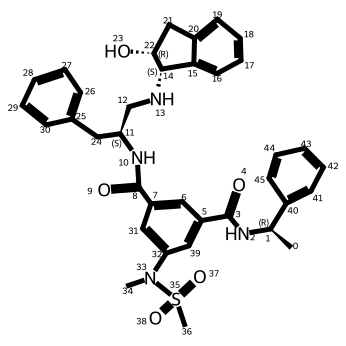 C[C@@H](NC(=O)c1cc(C(=O)N[C@H](CN[C@H]2c3ccccc3C[C@H]2O)Cc2ccccc2)cc(N(C)S(C)(=O)=O)c1)c1ccccc1